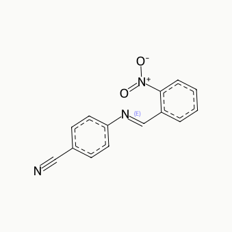 N#Cc1ccc(/N=C/c2ccccc2[N+](=O)[O-])cc1